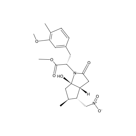 COC(=O)[C@H](Cc1ccc(C)c(OC)c1)N1C(=O)C[C@@H]2[C@H](C[N+](=O)[O-])[C@@H](C)C[C@@]21O